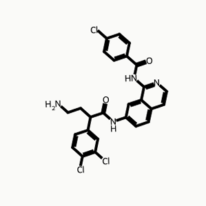 NCCC(C(=O)Nc1ccc2ccnc(NC(=O)c3ccc(Cl)cc3)c2c1)c1ccc(Cl)c(Cl)c1